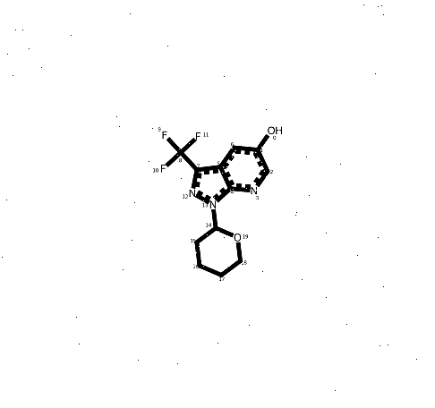 Oc1cnc2c(c1)c(C(F)(F)F)nn2C1CCCCO1